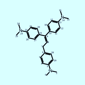 CN(C)c1ccc(C[C]=C(c2ccc(N(C)C)cc2)c2ccc(N(C)C)cc2)cc1